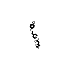 O=C(Cc1cscn1)ON1CCC(CCOc2ccc(Cl)cc2)CC1